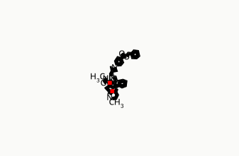 CNC(=O)OC1CCC[C@@H]1[C@](CC1C=CN=C(C)CC1)(c1ccccc1)C1CCN(CC2CN(c3ccc(C(=O)OCc4ccccc4)cc3)C2)CC1